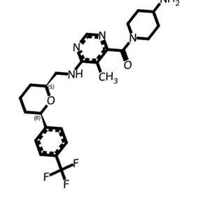 Cc1c(NC[C@@H]2CCC[C@H](c3ccc(C(F)(F)F)cc3)O2)ncnc1C(=O)N1CCC(N)CC1